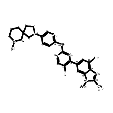 CCN1CCCC2(CCN(c3ccc(Nc4ncc(F)c(-c5cc(F)c6nc(C)n(C(C)C)c6c5)n4)nc3)C2)C1